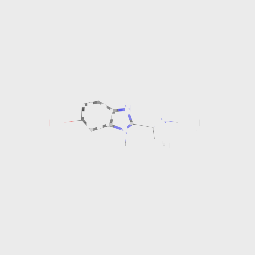 CCn1c(C(NC(=O)O)C(C)(C)C)nc2ccc(O)cc21